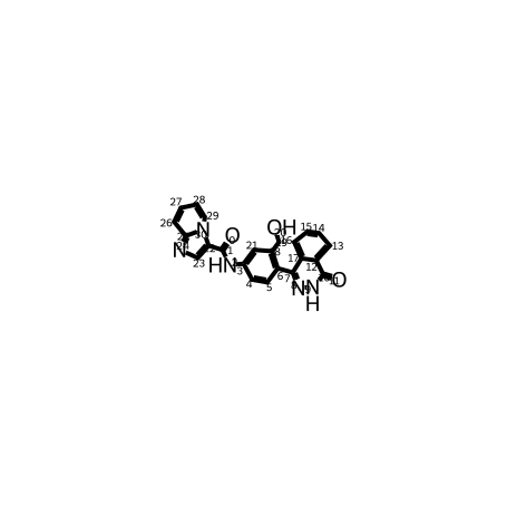 O=C(Nc1ccc(-c2n[nH]c(=O)c3ccccc23)c(CO)c1)c1cnc2ccccn12